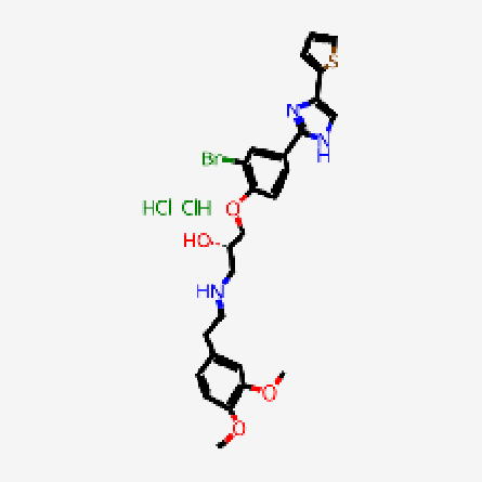 COc1ccc(CCNC[C@H](O)COc2ccc(-c3nc(-c4cccs4)c[nH]3)cc2Br)cc1OC.Cl.Cl